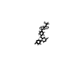 Cc1ccc(N2CCN(C)CC2Cc2ccc(C(=O)NNC(=O)C(F)F)cn2)cc1